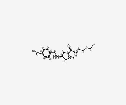 CCCCCNC(=O)C1CC(NCc2ccc(OC)cc2)CN1